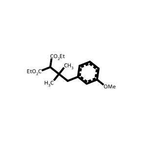 CCOC(=O)C(C(=O)OCC)C(C)(C)Cc1cccc(OC)c1